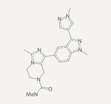 CNC(=O)N1CCn2c(C)nc(-c3ccc4c(c3)c(-c3cnn(C)c3)nn4C)c2C1